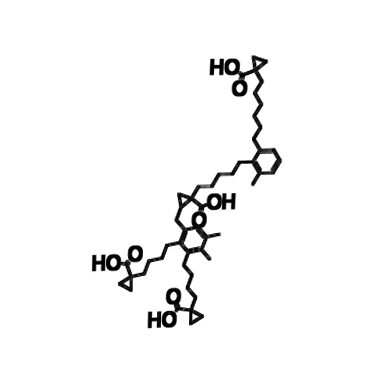 Cc1cc(CC2CC2(CCCCCc2c(C)cccc2CCCCCCC2(C(=O)O)CC2)C(=O)O)c(CCCCC2(C(=O)O)CC2)c(CCCCC2(C(=O)O)CC2)c1C